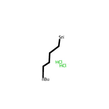 CCCCCCC[CH2][Sn].Cl.Cl